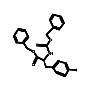 O=C(N[C@@H](Cc1ccc(I)cc1)C(=O)OCc1ccccc1)OCc1ccccc1